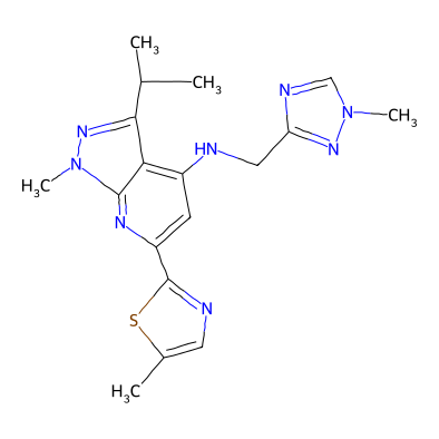 Cc1cnc(-c2cc(NCc3ncn(C)n3)c3c(C(C)C)nn(C)c3n2)s1